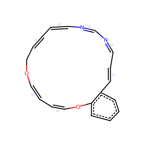 C1=C/CO/C=C\C=C/Oc2ccccc2\C=C/C=N\C=N/C=C\1